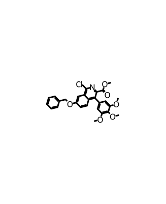 COC(=O)c1nc(Cl)c2cc(OCc3ccccc3)ccc2c1-c1cc(OC)c(OC)c(OC)c1